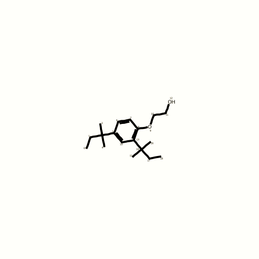 CCC(C)(C)c1ccc(OCCO)c(C(C)(C)CC)c1